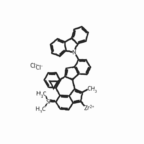 CC1=C(C2C(C3CC3)=Cc3c2cccc3-n2c3ccccc3c3ccccc32)c2c(-c3ccccc3)c(=[Si](C)C)ccc2=[C]1[Zr+2].[Cl-].[Cl-]